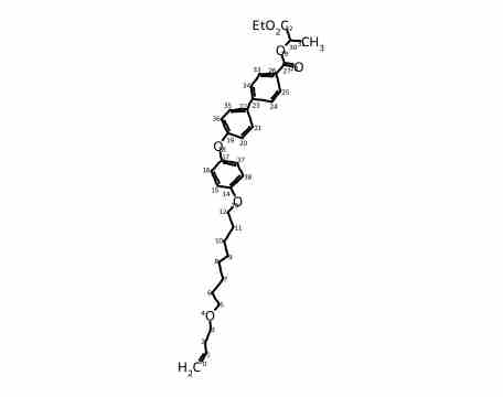 C=CCCOCCCCCCCCOc1ccc(Oc2ccc(-c3ccc(C(=O)OC(C)C(=O)OCC)cc3)cc2)cc1